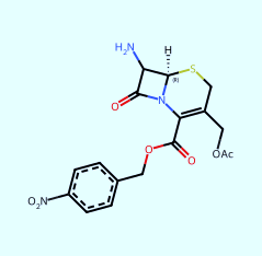 CC(=O)OCC1=C(C(=O)OCc2ccc([N+](=O)[O-])cc2)N2C(=O)C(N)[C@H]2SC1